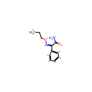 CCCON=C(C(N)=O)c1ccccc1